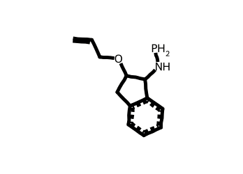 C=CCOC1Cc2ccccc2C1NP